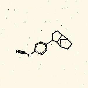 N#COc1ccc(C2CCC3C4CCC(C4)C23)cc1